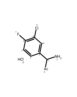 CC(=O)C(N)c1ccc(F)c(Cl)c1.Cl